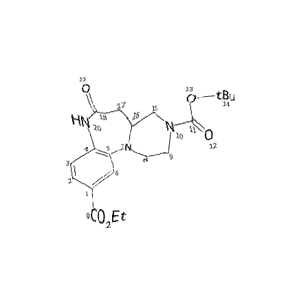 CCOC(=O)c1ccc2c(c1)N1CCN(C(=O)OC(C)(C)C)CC1CC(=O)N2